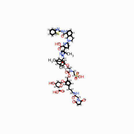 Cc1c(-c2ccc(N3CCc4cccc(C(=O)Nc5nc6ccccc6s5)c4C3)nc2C(=O)O)cnn1CC12CC3(C)CC(C)(C1)CC(OCCN(CCS(=O)(=O)O)C(=O)OCc1ccc(CCCNC(=O)CN4C(=O)C=CC4=O)cc1O[C@H]1C[C@@H](O)C[C@@H](C(=O)O)O1)(C3)C2